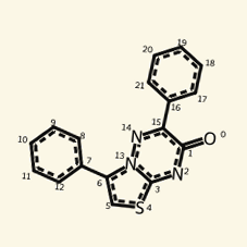 O=c1nc2scc(-c3ccccc3)n2nc1-c1ccccc1